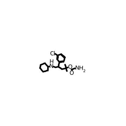 CC(C)(CC(CNC1CCCCC1)c1cccc(Cl)c1)OC(N)=O